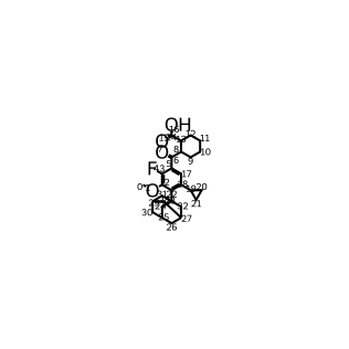 COc1c(F)c(C(=O)C2CCCCC2C(=O)O)cc(C2CC2)c1C12CC3CC(CC(C3)C1)C2